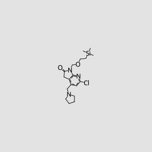 C[Si](C)(C)CCOCN1C(=O)Cc2c(CN3CCCC3)cc(Cl)nc21